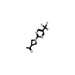 CC(=O)C1CN(c2ncc(C(F)(F)F)cn2)C1